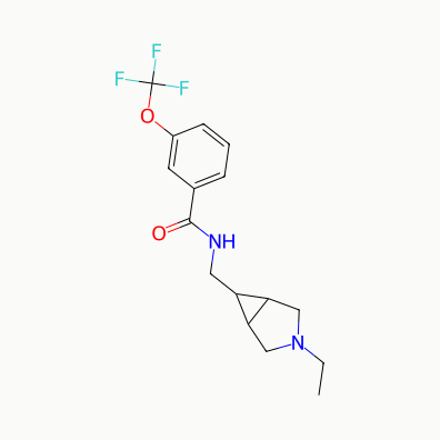 CCN1CC2C(CNC(=O)c3cccc(OC(F)(F)F)c3)C2C1